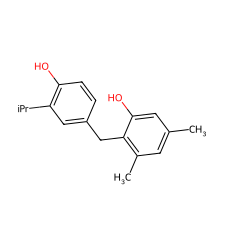 Cc1cc(C)c(Cc2ccc(O)c(C(C)C)c2)c(O)c1